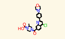 CC1CN(C(=O)c2ccc3c(Cl)cc(-c4ccc(N5CCOCC5)cc4)nc3c2)CCN1C(=O)O